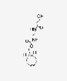 O=C(CCO)NCCNC(=O)OC[C@@H]1[C@@H]2CCC#CCC[C@@H]21